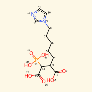 O=C(O)C(CCCCCn1ccnc1)C(C(=O)O)P(=O)(O)O